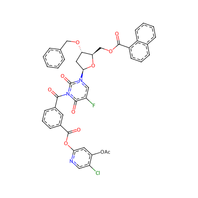 CC(=O)Oc1cc(OC(=O)c2cccc(C(=O)n3c(=O)c(F)cn([C@H]4C[C@H](OCc5ccccc5)[C@@H](COC(=O)c5cccc6ccccc56)O4)c3=O)c2)ncc1Cl